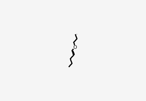 [CH2]CCOC=CCCC